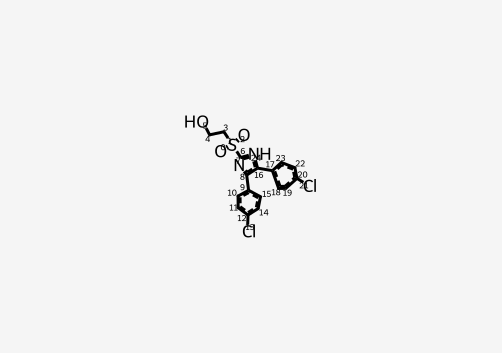 O=S(=O)(CCO)c1nc(-c2ccc(Cl)cc2)c(-c2ccc(Cl)cc2)[nH]1